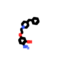 Nc1ccc(OCCN2CCC(Cc3ccccc3)CC2)cc1O